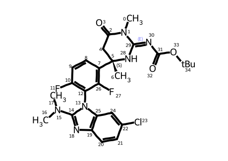 CN1C(=O)C[C@@](C)(c2ccc(F)c(-n3c(N(C)C)nc4ccc(Cl)cc43)c2F)N/C1=N\C(=O)OC(C)(C)C